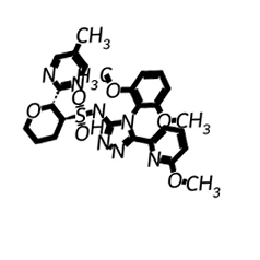 COc1cccc(-c2nnc(NS(=O)(=O)[C@H]3CCCO[C@@H]3c3ncc(C)cn3)n2-c2c(OC)cccc2OC)n1